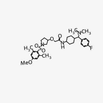 COc1cc(C)c(S(=O)(=O)N2CCC(OCC(=O)NC3CCC(C(c4ccc(F)cc4)N(C)C)CC3)C2)c(C)c1